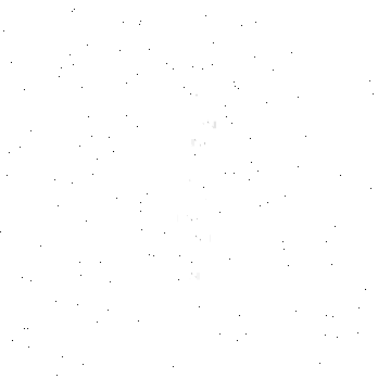 NC(=O)NNCCCNNC=O